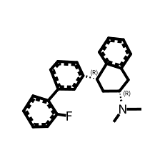 CN(C)[C@H]1Cc2ccccc2[C@@H](c2cccc(-c3ccccc3F)c2)C1